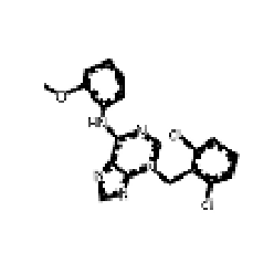 COc1ccccc1Nc1ncn(Cc2c(Cl)cccc2Cl)c2ncnc1-2